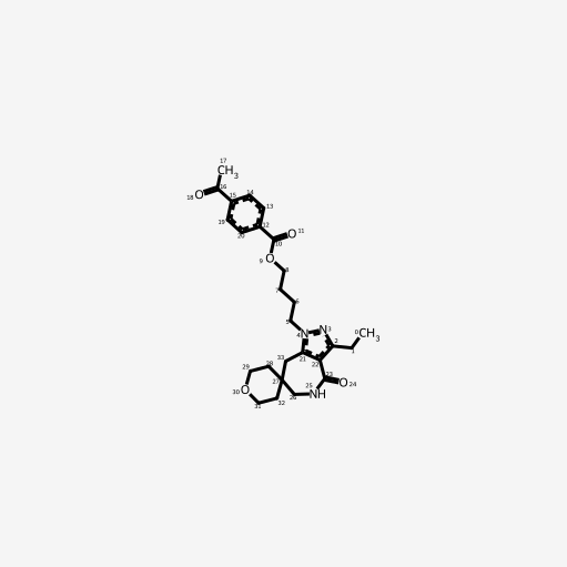 CCc1nn(CCCCOC(=O)c2ccc(C(C)=O)cc2)c2c1C(=O)NCC1(CCOCC1)C2